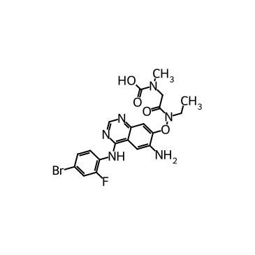 CCN(Oc1cc2ncnc(Nc3ccc(Br)cc3F)c2cc1N)C(=O)CN(C)C(=O)O